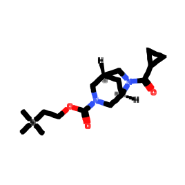 C[Si](C)(C)CCOC(=O)N1C[C@H]2C[C@H](C1)N(C(=O)C1CC1)C2